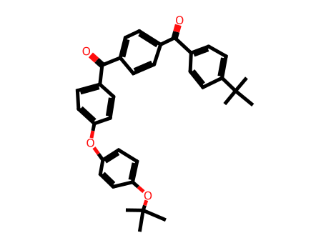 CC(C)(C)Oc1ccc(Oc2ccc(C(=O)c3ccc(C(=O)c4ccc(C(C)(C)C)cc4)cc3)cc2)cc1